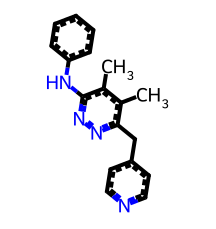 Cc1c(Cc2ccncc2)nnc(Nc2ccccc2)c1C